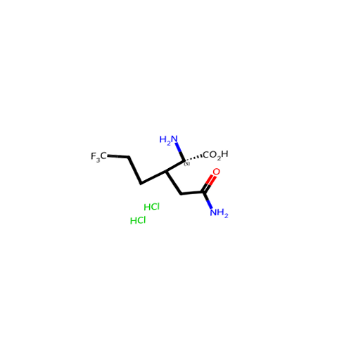 Cl.Cl.NC(=O)CC(CCC(F)(F)F)[C@H](N)C(=O)O